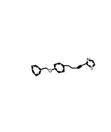 C(#Cc1nccs1)CCc1ccc(OCc2ccccc2)cc1